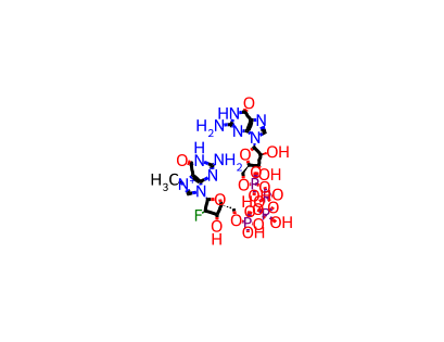 C[n+]1cn([C@@H]2O[C@H](COP(=O)(O)OP(=O)(O)OP(=O)(O)OP(=O)(O)OC[C@H]3O[C@@H](n4cnc5c(=O)[nH]c(N)nc54)[C@@H](O)C3O)C(O)[C@@H]2F)c2nc(N)[nH]c(=O)c21